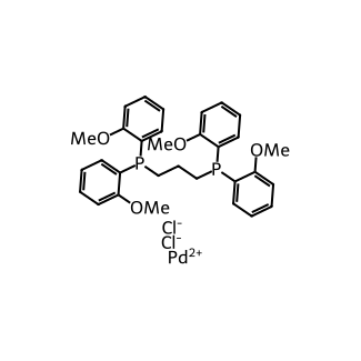 COc1ccccc1P(CCCP(c1ccccc1OC)c1ccccc1OC)c1ccccc1OC.[Cl-].[Cl-].[Pd+2]